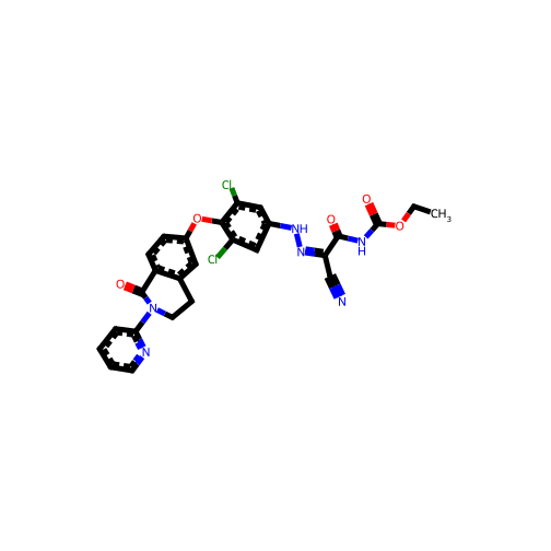 CCOC(=O)NC(=O)C(C#N)=NNc1cc(Cl)c(Oc2ccc3c(c2)CCN(c2ccccn2)C3=O)c(Cl)c1